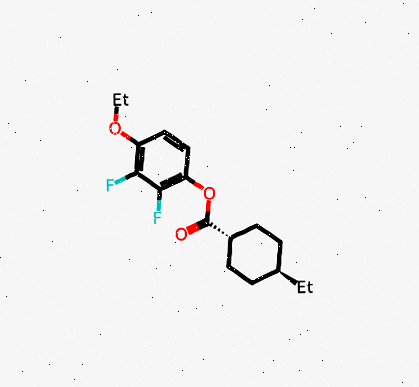 CCOc1ccc(OC(=O)[C@H]2CC[C@H](CC)CC2)c(F)c1F